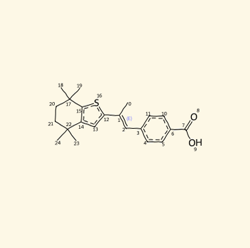 C/C(=C\c1ccc(C(=O)O)cc1)c1cc2c(s1)C(C)(C)CCC2(C)C